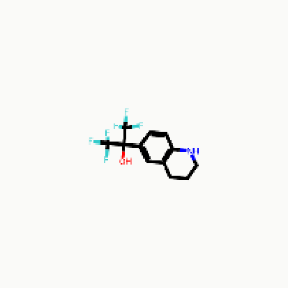 OC(c1ccc2c(c1)CCCN2)(C(F)(F)F)C(F)(F)F